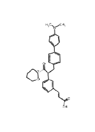 CN(C)c1ccc(-c2ccc(CN(C(=O)[C@H]3CCCCO3)c3cccc(C=CC(=O)O)c3)cc2)cc1